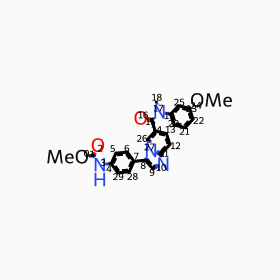 COC(=O)Nc1ccc(-c2cnc3ccc(C(=O)N(C)c4cccc(OC)c4)cn23)cc1